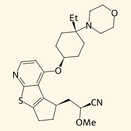 CC[C@]1(N2CCOCC2)CC[C@H](Oc2ccnc3sc4c(c23)[C@@H](C[C@@H](C#N)OC)CC4)CC1